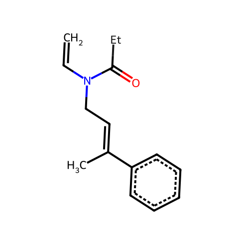 C=CN(C/C=C(\C)c1ccccc1)C(=O)CC